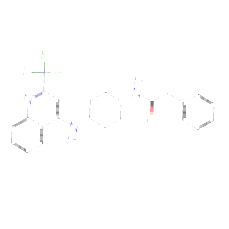 O=C(Cc1ccccc1)N[C@H]1CC[C@@H](Nc2cc(C(F)(F)F)nc3ccccc23)CC1